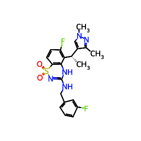 Cc1nn(C)cc1[C@H](C)c1c(F)ccc2c1NC(NCc1cccc(F)c1)=NS2(=O)=O